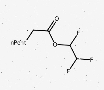 CCCCCCC(=O)OC(F)C(F)F